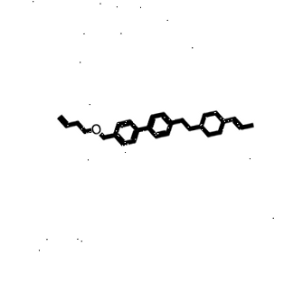 C=CCCOCc1ccc(-c2ccc(CCC3CCC(C=CC)CC3)cc2)cc1